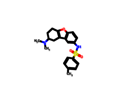 Cc1ccc(S(=O)(=O)Nc2ccc3oc4c(c3c2)CC(N(C)C)CC4)cc1